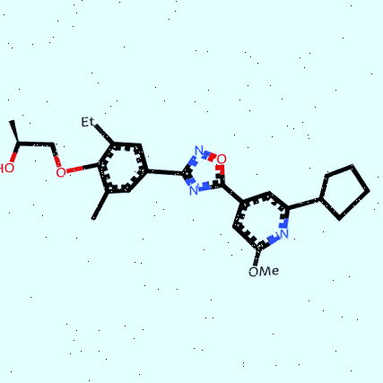 CCc1cc(-c2noc(-c3cc(OC)nc(C4CCCC4)c3)n2)cc(C)c1O[CH][C@H](C)O